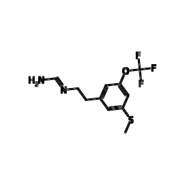 CSc1cc(CC/N=C/N)cc(OC(F)(F)F)c1